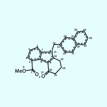 COC(=O)c1cccc2c1c1c(n2Cc2ccc3ccccc3c2)CCCC1=O